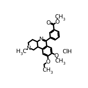 CCOc1cc2c(cc1OC)C(c1cccc(C(=O)OC)c1)=NC1CCN(C)CC21.Cl